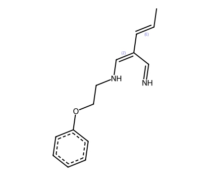 C/C=C/C(C=N)=C/NCCOc1ccccc1